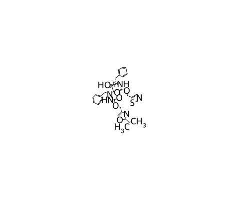 CC(C)c1nc(COC(=O)NN(Cc2ccccc2)C[C@H](O)[C@H](Cc2ccccc2)NC(=O)OCc2cncs2)co1